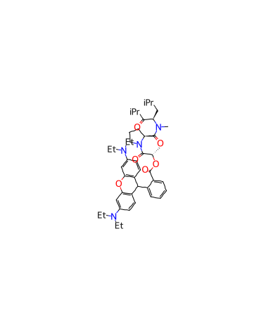 CCN(CC)c1ccc2c(c1)Oc1cc(N(CC)CC)ccc1C2c1ccccc1C(=O)O[C@@H](C)C(=O)N1CCC[C@H]1C(=O)N(C)[C@H](CC(C)C)C(=O)C(C)C